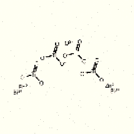 [Bi+3].[Bi+3].[O-2].[O]=[Ti]([O-])[O-].[O]=[Ti]([O-])[O-].[O]=[Ti]([O-])[O-].[O]=[Ti]([O-])[O-].[Pb+2].[Zn+2]